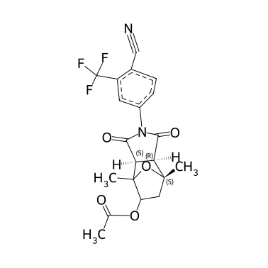 CC(=O)OC1C[C@]2(C)OC1(C)[C@H]1C(=O)N(c3ccc(C#N)c(C(F)(F)F)c3)C(=O)[C@H]12